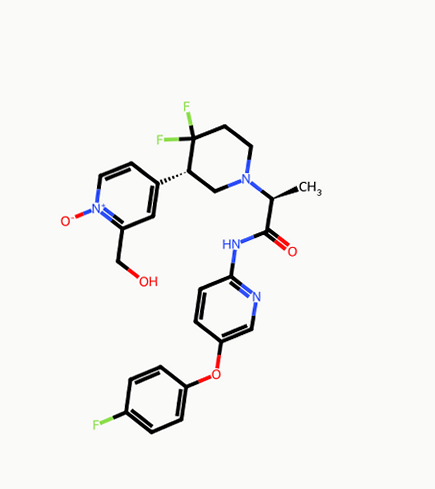 C[C@@H](C(=O)Nc1ccc(Oc2ccc(F)cc2)cn1)N1CCC(F)(F)[C@@H](c2cc[n+]([O-])c(CO)c2)C1